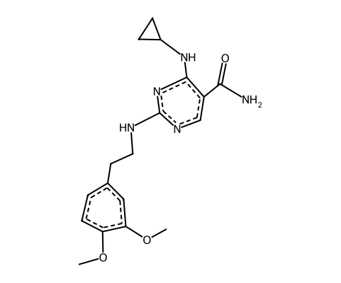 COc1ccc(CCNc2ncc(C(N)=O)c(NC3CC3)n2)cc1OC